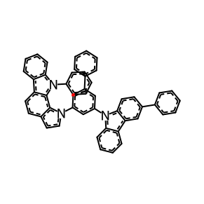 c1ccc(-c2cc(-n3ccc4ccc5c6ccccc6n(-c6ccccc6)c5c43)cc(-n3c4ccccc4c4cc(-c5ccccc5)ccc43)c2)cc1